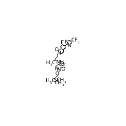 C[C@@H](CCCn1ccc2cc(-c3ncc(C(F)(F)F)cn3)c(F)cc2c1=O)Nc1cnn(COCC[Si](C)(C)C)c(=O)c1Br